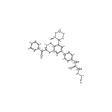 C[C@H]1COCCN1c1nc(-c2ccc(NC(=O)NCCF)cc2)nc2c1CCN(C(=O)c1cccnc1)C2